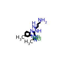 Cc1ccc2nc(NC(N)CCCN)c3nnc(C)n3c2c1.Cl.Cl